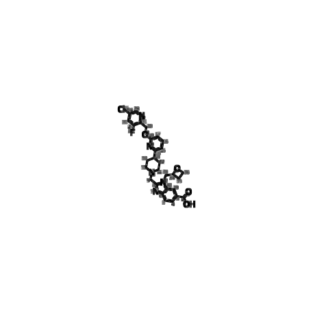 O=C(O)c1ccc2nc(CN3CCC(c4cccc(OCc5ncc(Cl)cc5F)n4)CC3)n(C[C@@H]3CCO3)c2c1